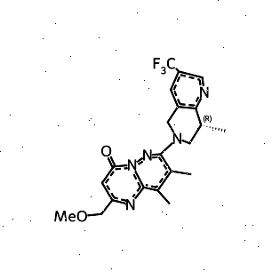 COCc1cc(=O)n2nc(N3Cc4cc(C(F)(F)F)cnc4[C@H](C)C3)c(C)c(C)c2n1